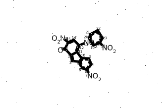 O=C1C2=Cc3cc([N+](=O)[O-])ccc3C2=C([N+](=O)[O-])C=C1[N+](=O)[O-].O=[N+]([O-])c1ccccc1